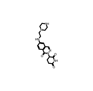 O=C1CCC(n2ncc3cc(NCCN4CCNCC4)ccc3c2=O)C(=O)N1